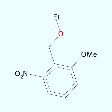 CCOCc1c(OC)cccc1[N+](=O)[O-]